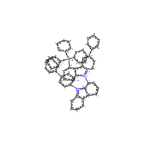 c1ccc(-c2ccc(-n3c4ccccc4c4cccc(-n5c6ccc(-c7ccccc7)cc6c6c([Si](c7ccccc7)(c7ccccc7)c7ccccc7)cccc65)c43)cc2)cc1